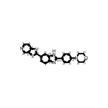 c1cc2nc(-c3ccc4nc(-c5ccc(N6CCOCC6)cc5)[nH]c4c3)sc2cn1